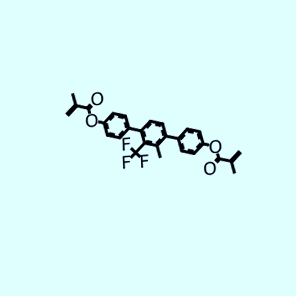 C=C(C)C(=O)Oc1ccc(-c2ccc(-c3ccc(OC(=O)C(=C)C)cc3)c(C(F)(F)F)c2C)cc1